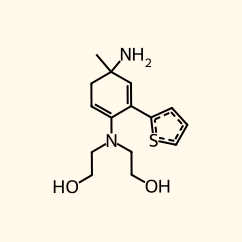 CC1(N)C=C(c2cccs2)C(N(CCO)CCO)=CC1